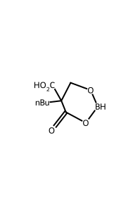 CCCCC1(C(=O)O)COBOC1=O